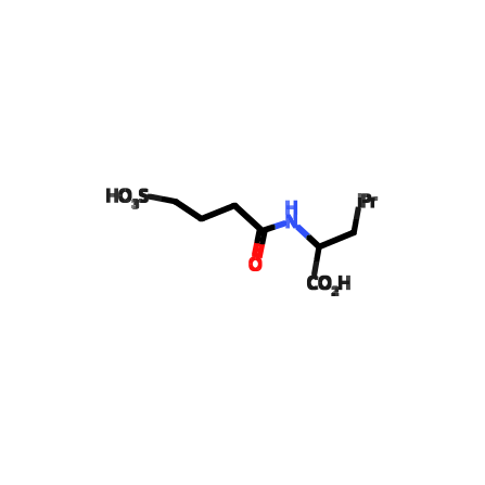 CC(C)CC(NC(=O)CCCS(=O)(=O)O)C(=O)O